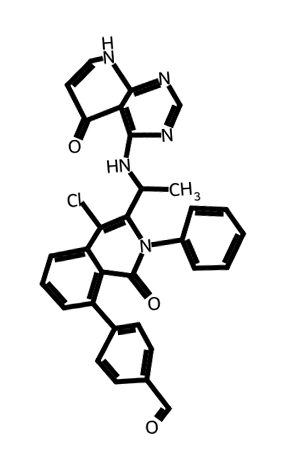 CC(Nc1ncnc2[nH]ccc(=O)c12)c1c(Cl)c2cccc(-c3ccc(C=O)cc3)c2c(=O)n1-c1ccccc1